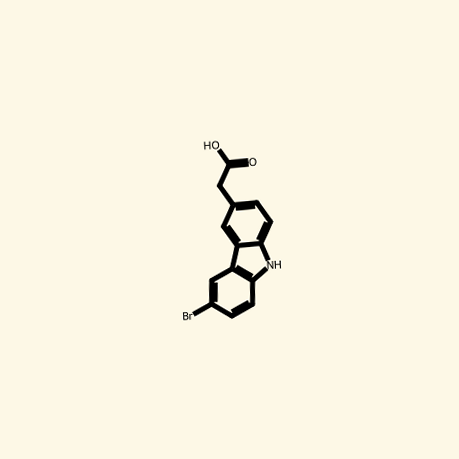 O=C(O)Cc1ccc2[nH]c3ccc(Br)cc3c2c1